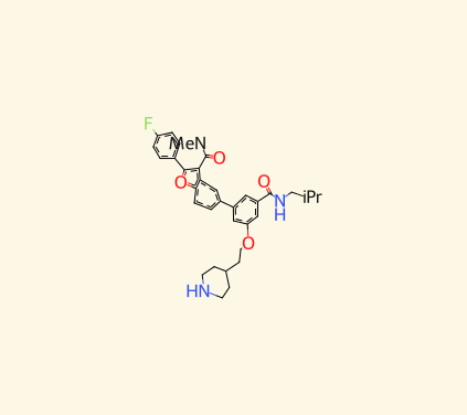 CNC(=O)c1c(-c2ccc(F)cc2)oc2ccc(-c3cc(OCCC4CCNCC4)cc(C(=O)NCC(C)C)c3)cc12